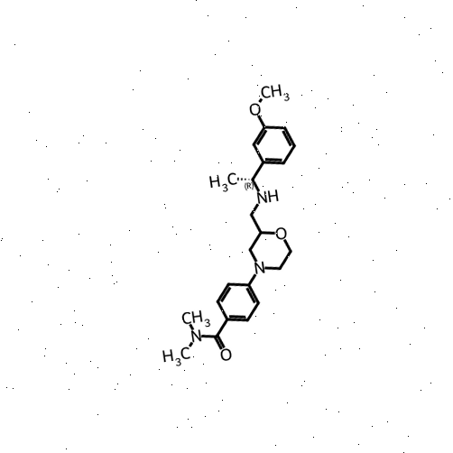 COc1cccc([C@@H](C)NCC2CN(c3ccc(C(=O)N(C)C)cc3)CCO2)c1